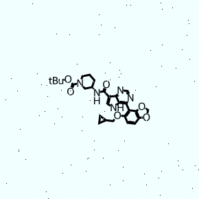 CC(C)(C)OC(=O)N1CCC[C@@H](NC(=O)c2c[nH]c3c(-c4c(OCC5CC5)ccc5c4OCO5)ncnc23)C1